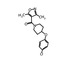 Cc1noc(C)c1C(=O)N1CCC(Oc2ccc(Cl)cc2)CC1